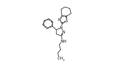 CCCCNC1=NN(c2nc3c(s2)CCCC3)C(c2ccccc2)C1